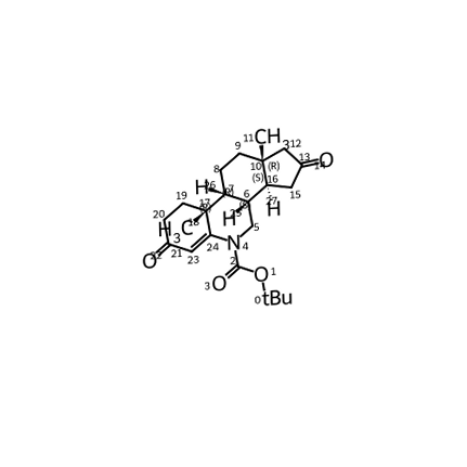 CC(C)(C)OC(=O)N1C[C@@H]2[C@@H](CC[C@]3(C)CC(=O)C[C@@H]23)[C@@]2(C)CCC(=O)C=C12